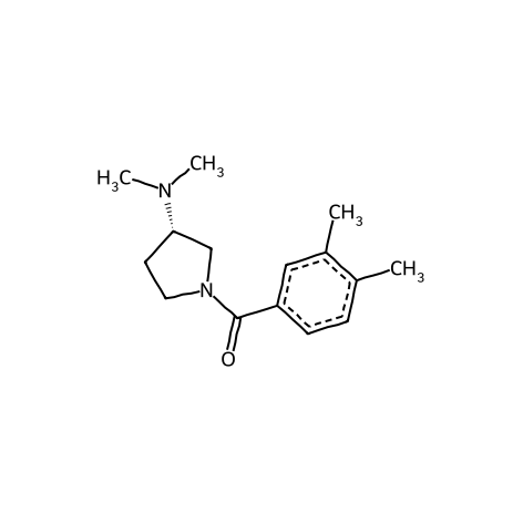 Cc1ccc(C(=O)N2CC[C@H](N(C)C)C2)cc1C